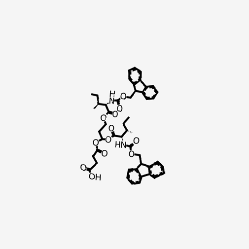 CC[C@H](C)[C@H](NC(=O)OCC1c2ccccc2-c2ccccc21)C(=O)OCCC(OC(=O)CCC(=O)O)OC(=O)[C@@H](NC(=O)OCC1c2ccccc2-c2ccccc21)[C@@H](C)CC